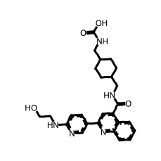 O=C(O)NCC1CCC(CNC(=O)c2cc(-c3ccc(NCCO)nc3)nc3ccccc23)CC1